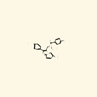 Cc1ccc(C(=O)N(C)Cc2c(-c3ccc(C)cc3)nc3ccc(C)cn23)cc1